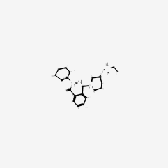 CCS(=O)(=O)NC1CCCN(c2nn(C3CCCCC3)c(=O)c3ccccc23)C1